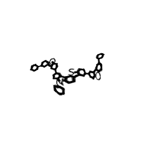 c1ccc(-c2ccc3oc4ccc(-c5ccc6sc7c(ccc8c7c7cc(-c9ccc%10oc%11ccc(-c%12ccccc%12)cc%11c%10c9)ccc7n8-c7ccccc7)c6c5)cc4c3c2)cc1